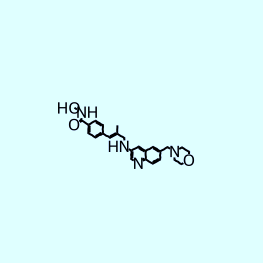 CC(=Cc1ccc(C(=O)NO)cc1)CNc1cnc2ccc(CN3CCOCC3)cc2c1